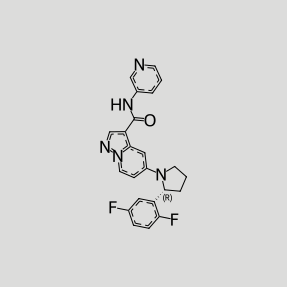 O=C(Nc1cccnc1)c1cnn2ccc(N3CCC[C@@H]3c3cc(F)ccc3F)cc12